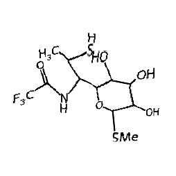 CSC1OC(C(NC(=O)C(F)(F)F)C(C)S)C(O)C(O)C1O